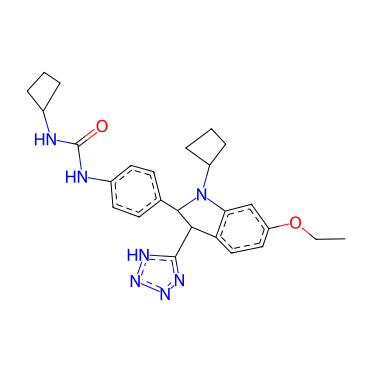 CCOc1ccc2c(c1)N(C1CCC1)C(c1ccc(NC(=O)NC3CCC3)cc1)C2c1nnn[nH]1